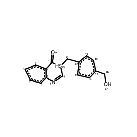 O=C1c2ccccc2N=C[SH]1Cc1ccc(CO)cc1